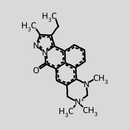 CCc1c(C)nn2c(=O)c3cc4c(c5cccc(c53)c12)N(C)C[N+](C)(C)C4